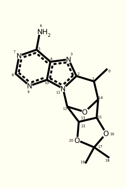 CC1c2nc3c(N)ncnc3n2C2OC1C1OC(C)(C)OC12